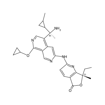 CC[C@]1(C)OC(=O)c2ccc(Nc3cc4c([C@](C)(N)C5CC5C)cnc(OC5CC5)c4cn3)nc21